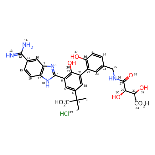 CC(C)(C(=O)O)c1cc(-c2nc3cc(C(=N)N)ccc3[nH]2)c(O)c(-c2cc(CNC(=O)[C@H](O)[C@@H](O)C(=O)O)ccc2O)c1.Cl